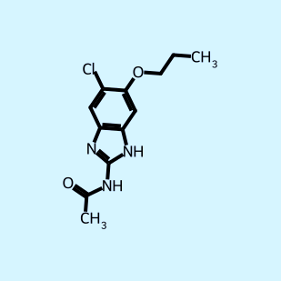 CCCOc1cc2[nH]c(NC(C)=O)nc2cc1Cl